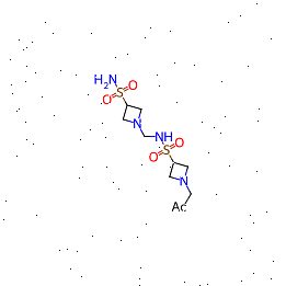 CC(=O)CN1CC(S(=O)(=O)NCN2CC(S(N)(=O)=O)C2)C1